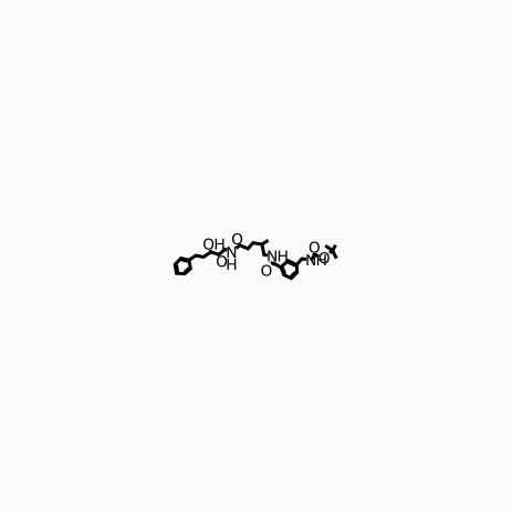 CC(CCC(=O)NCC(=O)C(O)CCc1ccccc1)CNC(=O)c1cccc(CNC(=O)OC(C)(C)C)c1